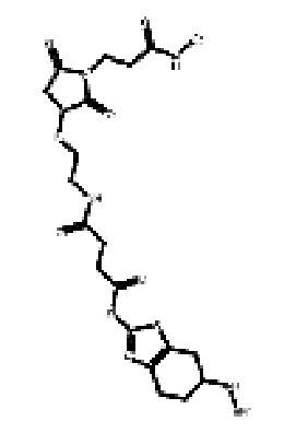 CCCNC1CCc2nc(NC(=O)CCC(=O)NCCSC3CC(=O)N(CCC(=O)NCC)C3=O)sc2C1